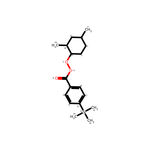 CC1CC[C](OOC(=O)c2ccc([Si](C)(C)C)cc2)C(C)C1